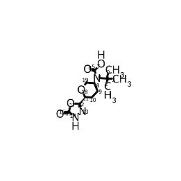 CC(C)(C)N(C(=O)O)[C@@H]1CC[C@@H](c2n[nH]c(=O)o2)OC1